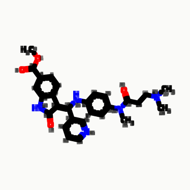 COC(=O)c1ccc2c(c1)NC(=O)C2=C(Nc1ccc(N(C)C(=O)CCN(C)C)cc1)c1cccnc1